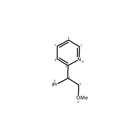 COCC(c1ccccn1)C(C)C